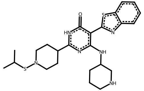 CC(C)SN1CCC(c2nc(NC3CCCNC3)c(-c3nc4ccccc4s3)c(=O)[nH]2)CC1